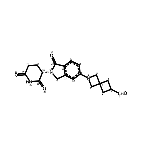 O=CC1CC2(C1)CN(c1ccc3c(c1)CN([C@H]1CCC(=O)NC1=O)C3=O)C2